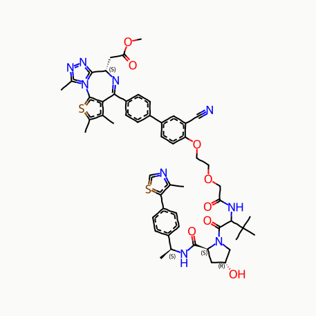 COC(=O)C[C@@H]1N=C(c2ccc(-c3ccc(OCCOCC(=O)NC(C(=O)N4C[C@H](O)C[C@H]4C(=O)N[C@@H](C)c4ccc(-c5scnc5C)cc4)C(C)(C)C)c(C#N)c3)cc2)c2c(sc(C)c2C)-n2c(C)nnc21